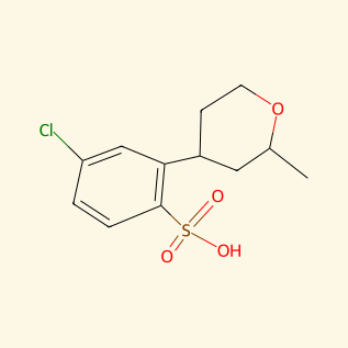 CC1CC(c2cc(Cl)ccc2S(=O)(=O)O)CCO1